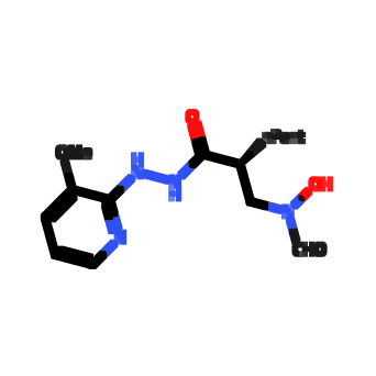 CCCCC[C@@H](CN(O)C=O)C(=O)NNc1ncccc1OC